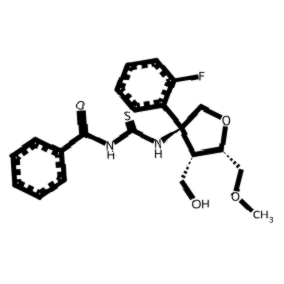 COC[C@H]1OC[C@@](NC(=S)NC(=O)c2ccccc2)(c2ccccc2F)[C@H]1CO